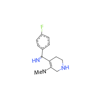 CNC1=C(C(=N)c2ccc(F)cc2)CCNC1